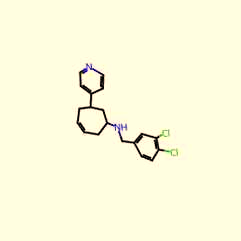 Clc1ccc(CNC2CC=CCC(c3ccncc3)C2)cc1Cl